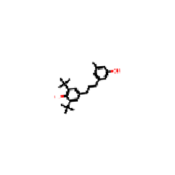 Cc1cc(O)cc(CCCc2cc(C(C)(C)C)c(O)c(C(C)(C)C)c2)c1